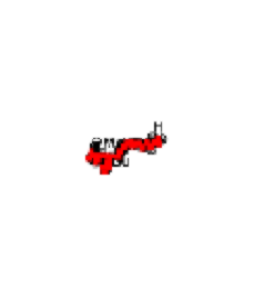 CCc1cccc2cc(OCOC)cc(-c3ncc4c(N5CC6CCC(C5)N6C(=O)OC(C)(C)C)nc(OCC5(CN6CCC7(CC6)CN(CC6CCN(c8ccc9c(c8)CN([C@H]8CCC(=O)NC8=O)C9=O)CC6)C7)CC5)nc4c3F)c12